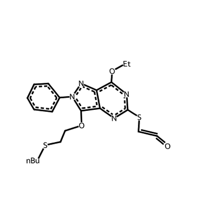 CCCCSCCOc1c2nc(SC=C=O)nc(OCC)c2nn1-c1ccccc1